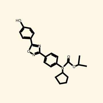 CC(C)OC(=O)N(c1ccc(-c2noc(-c3ccc(O)cc3)n2)cc1)C1CCCC1